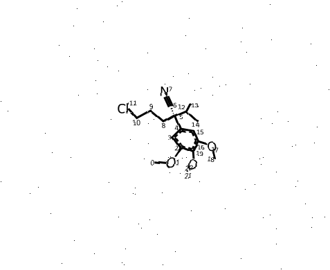 COc1cc([C@@](C#N)(CCCCl)C(C)C)cc(OC)c1OC